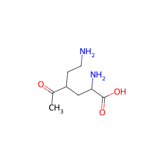 CC(=O)C(CCN)CC(N)C(=O)O